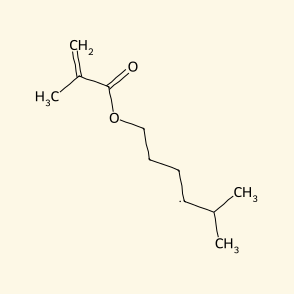 C=C(C)C(=O)OCCC[CH]C(C)C